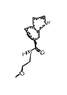 COCCNC(=O)c1ccc2cc[nH]c2c1